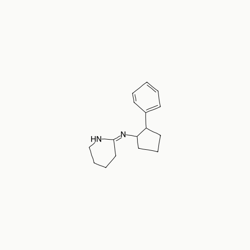 c1ccc(C2CCCC2/N=C2\CCCCN2)cc1